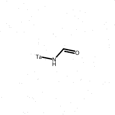 O=C[NH][Ta]